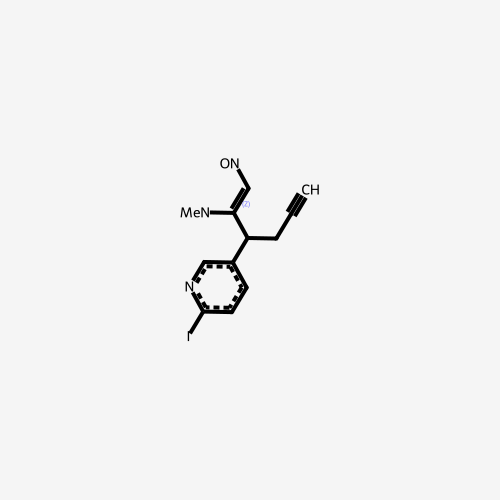 C#CCC(/C(=C/N=O)NC)c1ccc(I)nc1